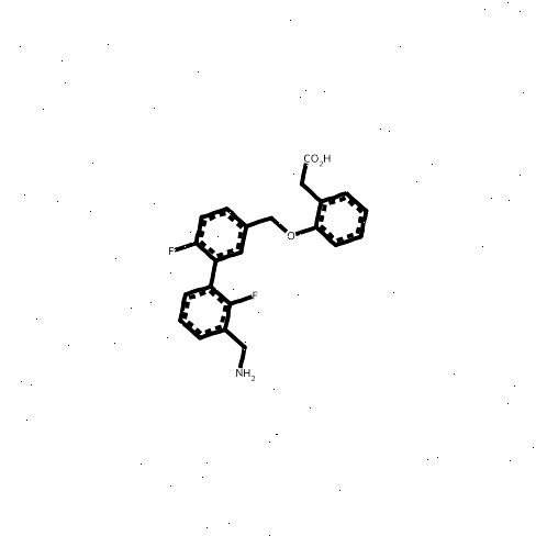 NCc1cccc(-c2cc(COc3ccccc3CC(=O)O)ccc2F)c1F